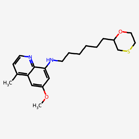 COc1cc(NCCCCCCC2CSCCO2)c2nccc(C)c2c1